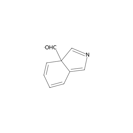 O=[C]C12C=CC=CC1=CN=C2